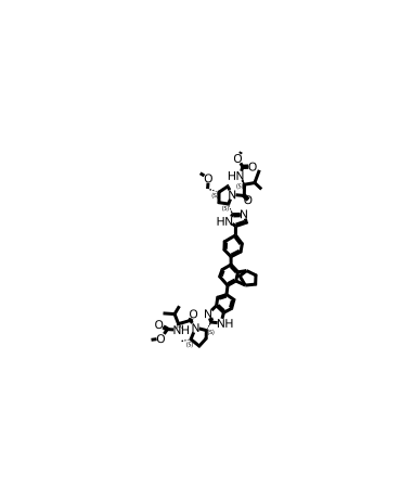 COC[C@H]1C[C@@H](c2ncc(-c3ccc(-c4ccc(-c5ccc6[nH]c([C@@H]7CC[C@H](C)N7C(=O)[C@@H](NC(=O)OC)C(C)C)nc6c5)c5c4C4CCC5C4)cc3)[nH]2)N(C(=O)[C@@H](NC(=O)OC)C(C)C)C1